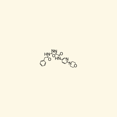 O=C(Cc1ccccc1)Nc1nnc(C(=O)Nc2ccc(N3CCOCC3)nc2)o1